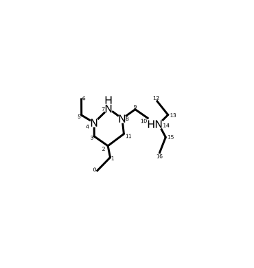 CCC1CN(CC)NN(CC)C1.CCNCC